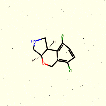 Clc1ccc(Br)c2c1CO[C@H]1CNC[C@@H]21